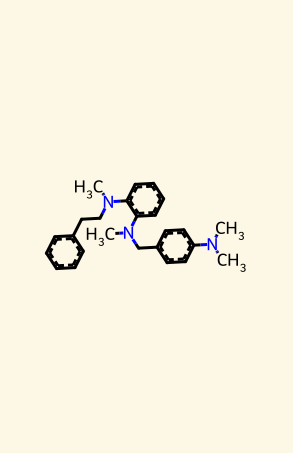 CN(C)c1ccc(CN(C)c2ccccc2N(C)CCc2ccccc2)cc1